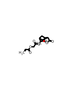 C=CC(=O)OCC(=O)OC1C2OC(=O)C3C2CC1C3(C)C